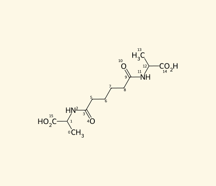 CC(NC(=O)CCCCC(=O)NC(C)C(=O)O)C(=O)O